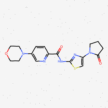 O=C(Nc1nc(N2CCCC2=O)cs1)c1ccc(N2CCOCC2)cn1